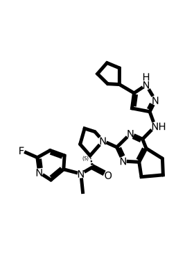 CN(C(=O)[C@@H]1CCCN1c1nc2c(c(Nc3cc(C4CCCC4)[nH]n3)n1)CCC2)c1ccc(F)nc1